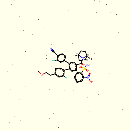 COCCc1ccc(-c2ccc(C(=O)N3[C@H]4CC[C@@H]3[C@H](NS(=O)(=O)c3ccccc3[N+](=O)[O-])C4)cc2-c2ccc(C#N)c(F)c2)c(F)c1